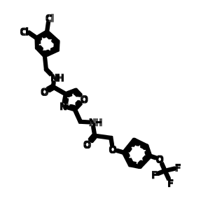 O=C(COc1ccc(OC(F)(F)F)cc1)NCc1nc(C(=O)NCc2ccc(Cl)c(Cl)c2)co1